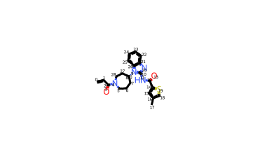 C=CC(=O)N1CCC[C@@H](n2c(NC(=O)c3cc(C)cs3)nc3ccccc32)CC1